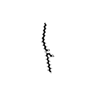 CCCCCCCCCCCCCCCC(=O)OC(CC=O)CCCCCCCCCC